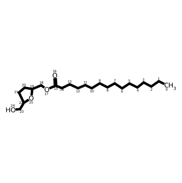 CCCCCCCCCCCCCCCC(=O)OCC1CCC(CO)O1